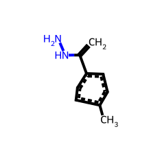 C=C(NN)c1ccc(C)cc1